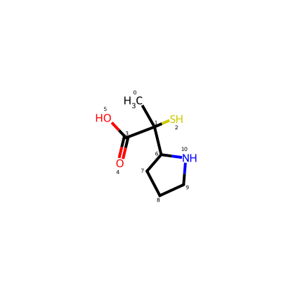 CC(S)(C(=O)O)C1CCCN1